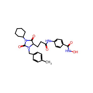 Cc1ccc(CN2C(=O)N(C3CCCCC3)C(=O)C2CCC(=O)Nc2ccc(C(=O)NO)cc2)cc1